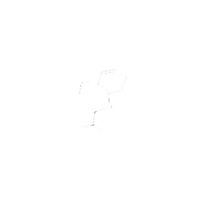 CCCCCC.NC(=O)C(=O)Nc1ccccc1